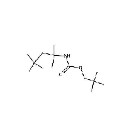 CC(C)(C)COC(=O)NC(C)(C)CC(C)(C)C